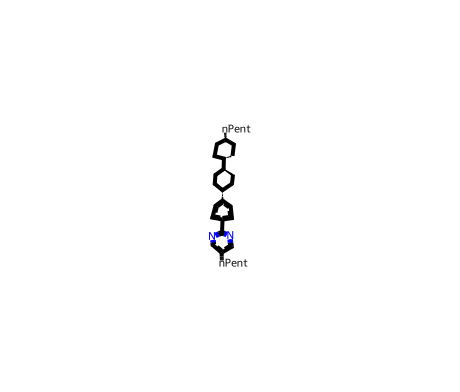 CCCCCc1cnc(-c2ccc([C@H]3CC[C@H]([C@H]4CC[C@H](CCCCC)CC4)CC3)cc2)nc1